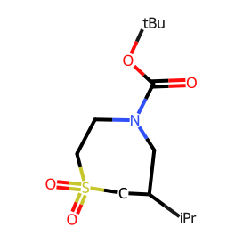 CC(C)C1CN(C(=O)OC(C)(C)C)CCS(=O)(=O)C1